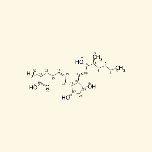 CCCC[C@H](C)[C@@H](O)/C=C/[C@@H]1[C@@H](C/C=C\CCC(C)C(=O)O)[C@@H](O)C[C@H]1O